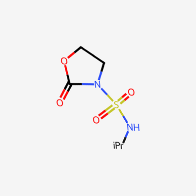 CC(C)NS(=O)(=O)N1CCOC1=O